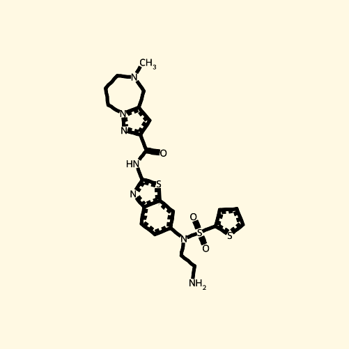 CN1CCCn2nc(C(=O)Nc3nc4ccc(N(CCN)S(=O)(=O)c5cccs5)cc4s3)cc2C1